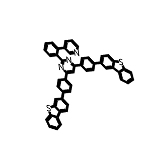 c1cncc(-c2ccccc2-c2nc(-c3ccc(-c4ccc5c(c4)sc4ccccc45)cc3)cc(-c3ccc(-c4ccc5sc6ccccc6c5c4)cc3)n2)c1